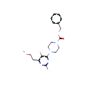 CC(C)(C)c1nc(CCOC(F)(F)F)c(Br)c(N2CCN(C(=O)OCc3ccccc3)CC2)n1